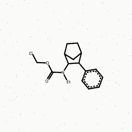 CCN(C(=O)OCCl)C1C2CCC(C2)C1c1ccccc1